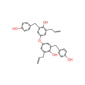 C=CCc1cc(Oc2cc(CC=C)c(O)c(Cc3ccc(O)cc3)c2)cc(Cc2ccc(O)cc2)c1O